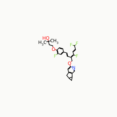 CC(C)(O)CCOc1ccc(/C=C/C(COc2cc3c(cn2)C2CC2C3)=C(F)\C=C\C(F)F)cc1F